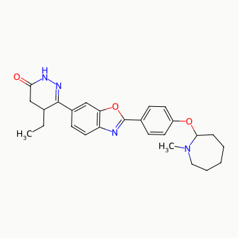 CCC1CC(=O)NN=C1c1ccc2nc(-c3ccc(OC4CCCCCN4C)cc3)oc2c1